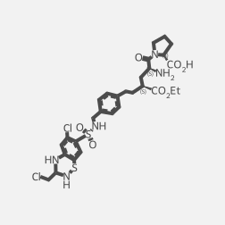 CCOC(=O)[C@@H](CCc1ccc(CNS(=O)(=O)c2cc3c(cc2Cl)NC(CCl)NS3)cc1)C[C@H](N)C(=O)N1CCC[C@H]1C(=O)O